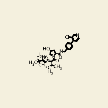 CC(C)[C@@H](C(=O)N1C[C@H](O)C[C@H]1C(=O)NCc1ccc(-c2ccncc2Cl)cc1)n1cc(C(C)(C)C)nn1